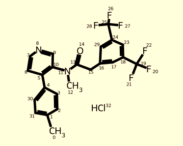 Cc1ccc(-c2ccncc2N(C)C(=O)Cc2cc(C(F)(F)F)cc(C(F)(F)F)c2)cc1.Cl